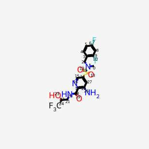 CN(Cc1ccc(F)cc1F)S(=O)(=O)c1cnc(C(=O)NCC(O)C(F)(F)F)c(N)c1